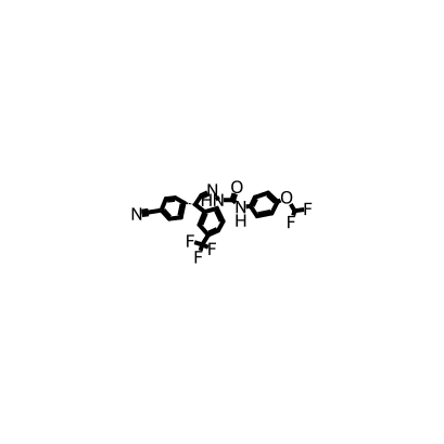 N#Cc1ccc([C@H](/C=N\NC(=O)Nc2ccc(OC(F)F)cc2)c2cccc(C(F)(F)F)c2)cc1